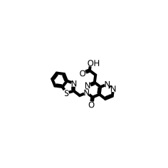 O=C(O)Cc1nn(Cc2nc3ccccc3s2)c(=O)c2ccnnc12